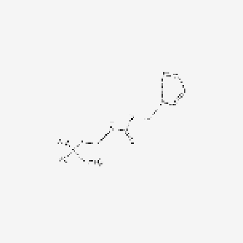 CC(C)(O)CCNC(=O)OCc1ccccc1